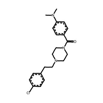 CN(C)c1ccc(C(=O)N2CCN(CCc3ccc(Cl)cc3)CC2)cc1